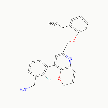 NCc1cccc(-c2cc(COc3ccccc3CC(=O)O)nc3c2OCC=C3)c1F